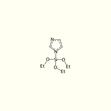 CCO[Si](OCC)(OCC)n1ccnc1